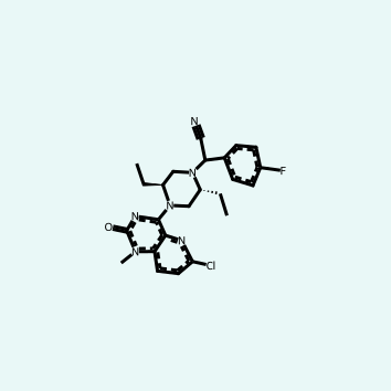 CC[C@H]1CN(C(C#N)c2ccc(F)cc2)[C@H](CC)CN1c1nc(=O)n(C)c2ccc(Cl)nc12